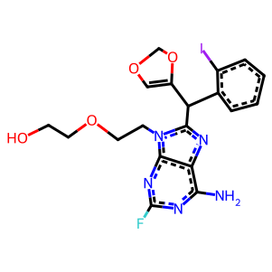 Nc1nc(F)nc2c1nc(C(C1=COCO1)c1ccccc1I)n2CCOCCO